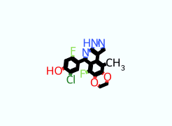 Cc1c2c(c(F)c3c(-c4cc(Cl)c(O)cc4F)nc4[nH]ncc4c13)OCCO2